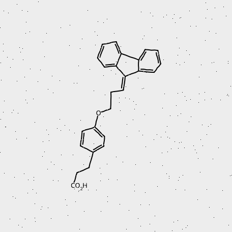 O=C(O)CCc1ccc(OCCC=C2c3ccccc3-c3ccccc32)cc1